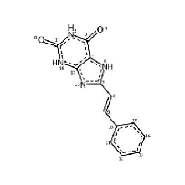 O=c1[nH]c(=O)c2[nH]c(C=Cc3ccccc3)nc2[nH]1